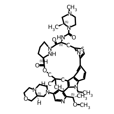 CCn1c(-c2cc(N3CCN4CCOC[C@@H]4C3)cnc2[C@H](C)OC)c2c3cc(ccc31)-c1csc(n1)C[C@H](NC(=O)N1CCN(C)C[C@@H]1C)C(=O)N1CCC[C@H](N1)C(=O)OCC(C)(C)C2